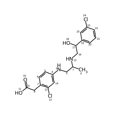 CC(CNc1ccc(CC(=O)O)c(Cl)c1)NCC(O)c1cccc(Cl)c1